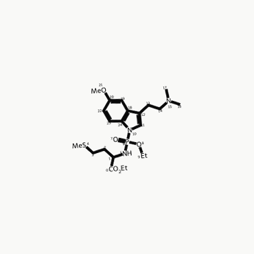 CCOC(=O)C(CCSC)NP(=O)(OCC)n1cc(CCN(C)C)c2cc(OC)ccc21